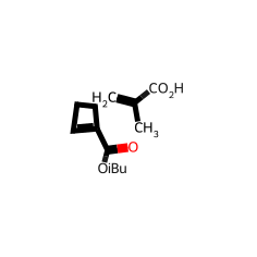 C=C(C)C(=O)O.CC(C)COC(=O)C1=CCC1